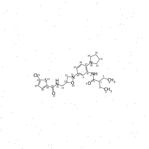 CCC(CC)C(=O)Nc1cc(N2CC(CNC(=O)c3ccc(Cl)s3)O2)ccc1N1CCCC1